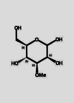 CO[C@H]1[C@H](O)[C@@H](CO)OC(O)[C@H]1O